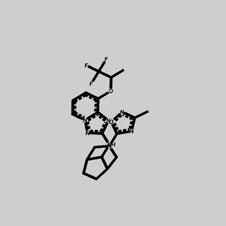 Cc1noc(N2CC3CCC(C2)C3Nc2nc3c(OC(C)C(F)(F)F)cccn3n2)n1